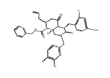 C=CCN1CC(=O)N2[C@@H](Cc3ccc(O)cc3F)C(=O)N(Cc3ccc(F)c(Cl)n3)C[C@@H]2N1C(=O)NCc1ccccc1